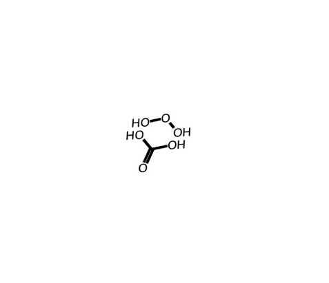 O=C(O)O.OOO